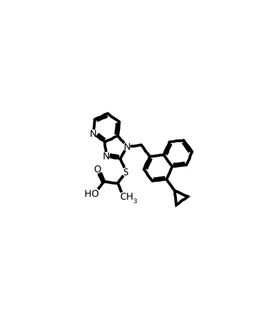 CC(Sc1nc2ncccc2n1Cc1ccc(C2CC2)c2ccccc12)C(=O)O